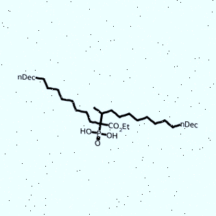 CCCCCCCCCCCCCCCCCCC(C)C(CCCCCCCCCCCCCCCCCC)(C(=O)OCC)P(=O)(O)O